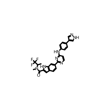 CC(N(C)C(=O)c1cc2ccc(-c3nccc(Nc4ccc(-c5cn[nH]c5)cc4)n3)cc2[nH]1)C(F)(F)F